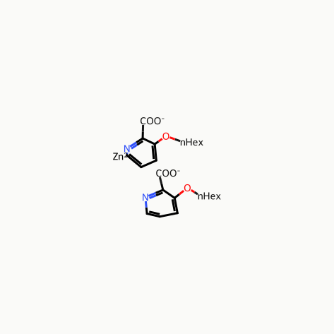 CCCCCCOc1cccnc1C(=O)[O-].CCCCCCOc1cccnc1C(=O)[O-].[Zn+2]